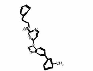 Cc1cccc(-c2ccc3c(c2)ncn3-c2ccnc(NCCc3ccccc3)n2)c1